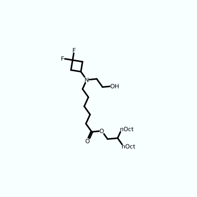 CCCCCCCCC(CCCCCCCC)COC(=O)CCCCCN(CCO)C1CC(F)(F)C1